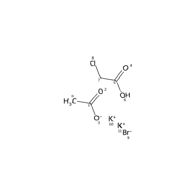 CC(=O)[O-].O=C(O)CCl.[Br-].[K+].[K+]